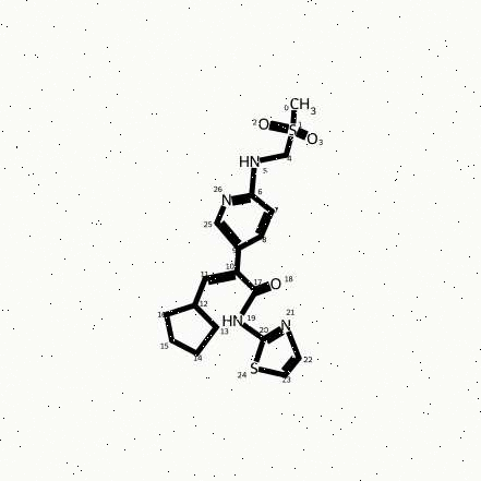 CS(=O)(=O)CNc1ccc(C(=CC2CCCC2)C(=O)Nc2nccs2)cn1